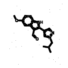 COc1ccc2[nH]c(-c3cnn(CC(C)C)c3)c(C=O)c2c1